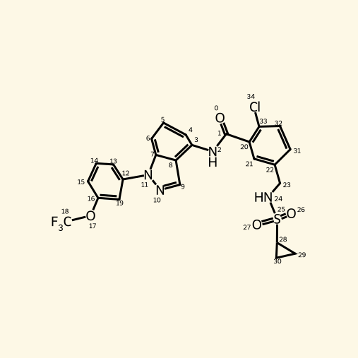 O=C(Nc1cccc2c1cnn2-c1cccc(OC(F)(F)F)c1)c1cc(CNS(=O)(=O)C2CC2)ccc1Cl